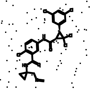 C=NCC1(NC(=O)c2cc(NC(=O)[C@H]3[C@H](c4cc(Cl)cc(Cl)c4)C3(Cl)Cl)ccc2Cl)CC1